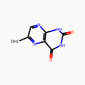 O=Cc1cnc2[nH]c(=O)[nH]c(=O)c2n1